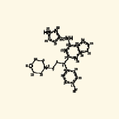 Fc1ccc(C(CCN2CCOCC2)c2nc(Nc3cc[nH]n3)c3cccn3n2)cc1